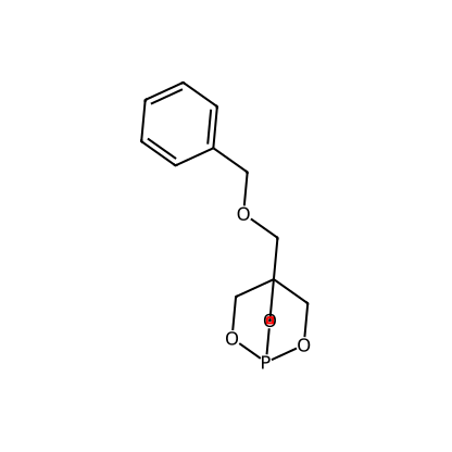 c1ccc(COCC23COP(OC2)OC3)cc1